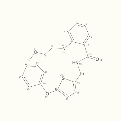 COCCNc1ncccc1C(=O)NCc1ccc(Oc2ccccc2)s1